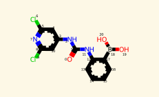 O=C(Nc1cc(Cl)nc(Cl)c1)Nc1ccccc1B(O)O